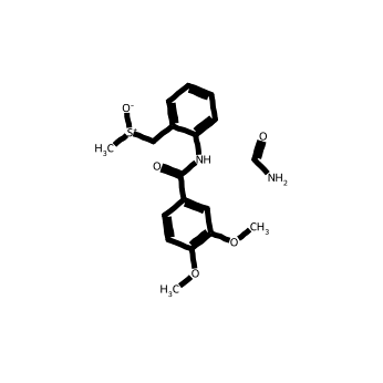 COc1ccc(C(=O)Nc2ccccc2C[S+](C)[O-])cc1OC.NC=O